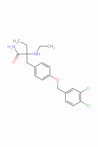 CCNC(CC)(Cc1ccc(OCc2ccc(Cl)c(Cl)c2)cc1)C(N)=O